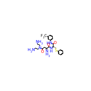 NCCN(CCN)C(=O)C[C@H](N)C(=O)N[C@@H](CSc1ccccc1)C(=O)Nc1cccc(C(F)(F)F)c1